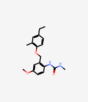 CCc1ccc(OCc2cc(OC)ccc2NC(=O)NC)c(C)c1